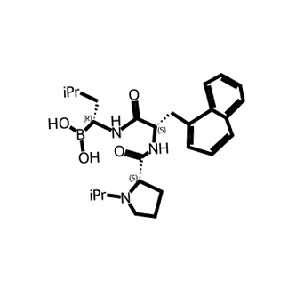 CC(C)C[C@H](NC(=O)[C@H](Cc1cccc2ccccc12)NC(=O)[C@@H]1CCCN1C(C)C)B(O)O